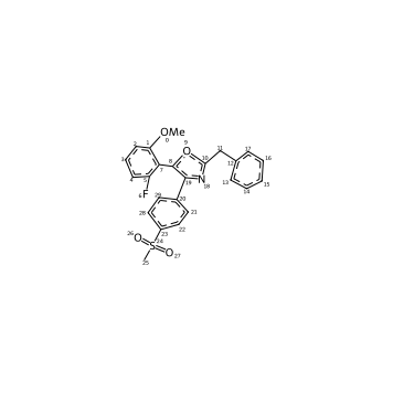 COc1cccc(F)c1-c1oc(Cc2ccccc2)nc1-c1ccc(S(C)(=O)=O)cc1